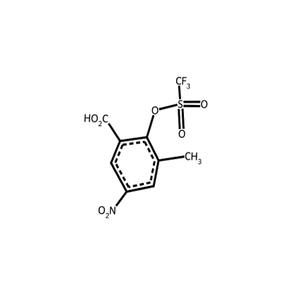 Cc1cc([N+](=O)[O-])cc(C(=O)O)c1OS(=O)(=O)C(F)(F)F